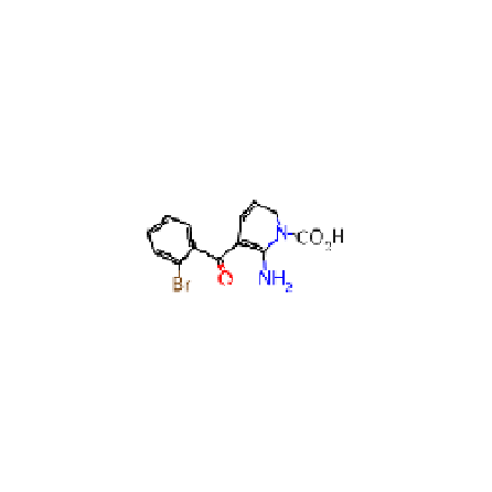 NC1=C(C(=O)c2ccccc2Br)C=CCN1C(=O)O